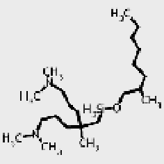 CCCCCCC(C)CO[SiH2]CC(C)(CCCN(C)C)CCCN(C)C